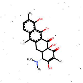 CC(=O)C1=C(O)[C@H](N(C)C)C2Cc3c(c(O)c4c(O)c(C)ccc4c3C)C(=O)[C@]2(O)C1=O